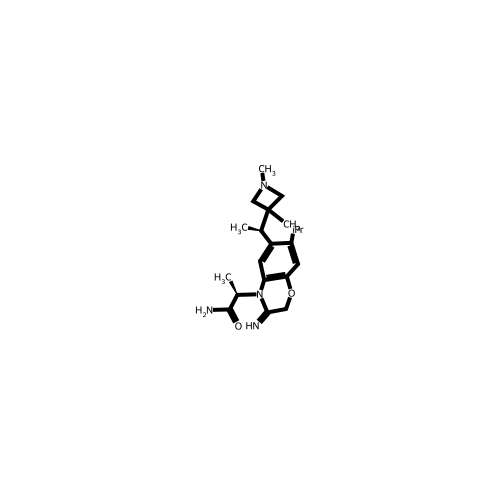 CC(C)c1cc2c(cc1[C@@H](C)C1(C)CN(C)C1)N([C@H](C)C(N)=O)C(=N)CO2